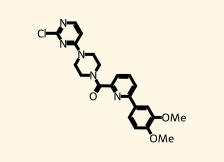 COc1ccc(-c2cccc(C(=O)N3CCN(c4ccnc(Cl)n4)CC3)n2)cc1OC